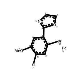 COc1cc(-c2ncco2)c(Br)cc1Cl.[Pd]